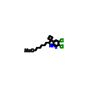 COCCCCCCC(N)C1(c2ccc(Cl)c(Cl)c2)CCC1